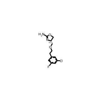 NC1=N[C@@H](COCCc2cc(F)cc(Cl)c2)CO1